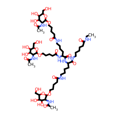 CCNC(=O)CCCCCNC(=O)C(CCCCNC(=O)CCCCOC1OC(CO)C(O)C(O)C1NC(C)=O)NC(=O)C(CCCCNC(=O)CCCCOC1OC(CO)C(O)C(O)C1NC(C)=O)NC(=O)CCCCOC1OC(CO)C(O)C(O)C1NC(C)=O